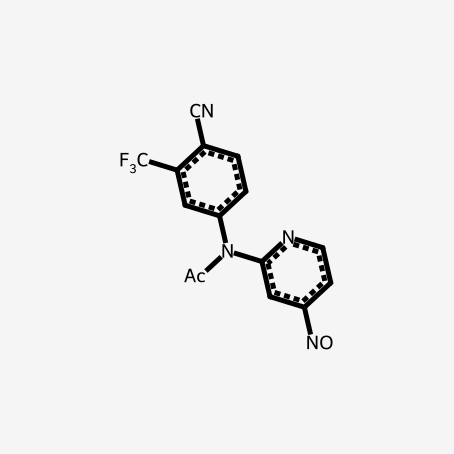 CC(=O)N(c1ccc(C#N)c(C(F)(F)F)c1)c1cc(N=O)ccn1